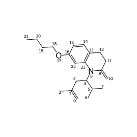 C=C(C)CC(C(C)C)N1C(=C)CCc2ccc(OCCCC)cc21